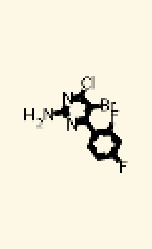 Nc1nc(Cl)c(Br)c(-c2ccc(F)cc2F)n1